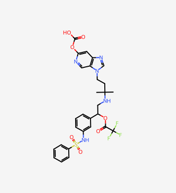 CC(C)(CCn1cnc2cc(OC(=O)O)ncc21)NCC(OC(=O)C(F)(F)F)c1cccc(NS(=O)(=O)c2ccccc2)c1